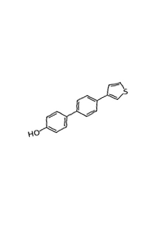 Oc1ccc(-c2ccc(-c3ccsc3)cc2)cc1